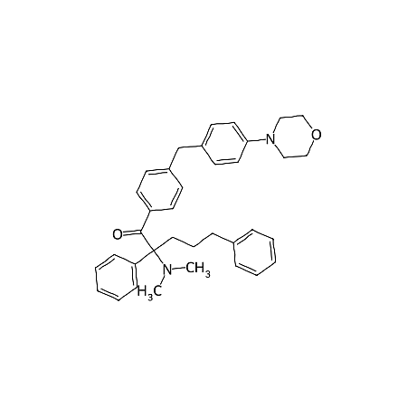 CN(C)C(CCCc1ccccc1)(C(=O)c1ccc(Cc2ccc(N3CCOCC3)cc2)cc1)c1ccccc1